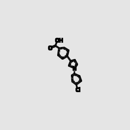 O=C(O)c1ccc(-c2ccn(-c3ccc(Cl)cc3)c2)cc1